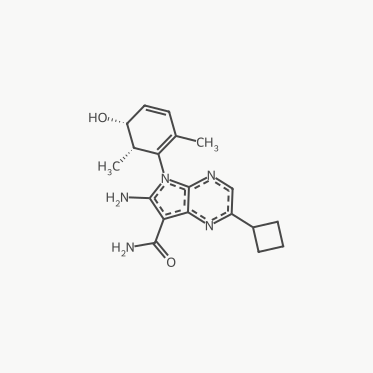 CC1=C(n2c(N)c(C(N)=O)c3nc(C4CCC4)cnc32)[C@H](C)[C@H](O)C=C1